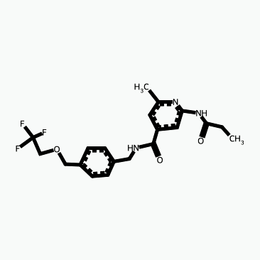 CCC(=O)Nc1cc(C(=O)NCc2ccc(COCC(F)(F)F)cc2)cc(C)n1